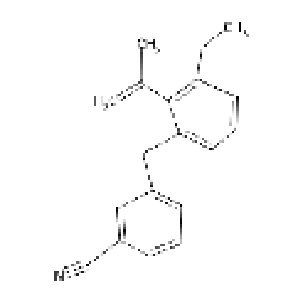 C=C(C)c1c(CC)cccc1Cc1cccc(C#N)c1